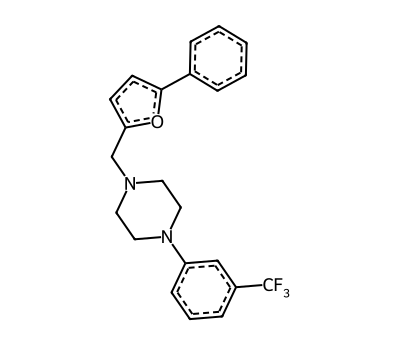 FC(F)(F)c1cccc(N2CCN(Cc3ccc(-c4ccccc4)o3)CC2)c1